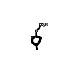 CCOC(=O)COc1ccc(C)cn1